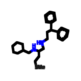 CSCCC(CNCCC(c1ccccc1)c1ccccc1)NCC1CCCCC1